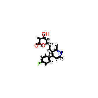 Cc1cc(-c2ccc(F)cc2)c(CC[C@H]2C[C@@H](O)CC(=O)O2)c(C)n1